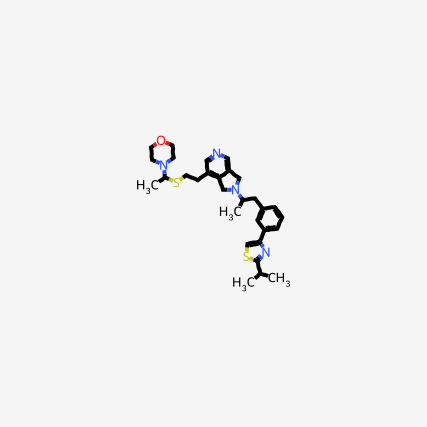 CC(C)c1nc(-c2cccc(CC(C)N3Cc4cncc(CCSC(C)N5CCOCC5)c4C3)c2)cs1